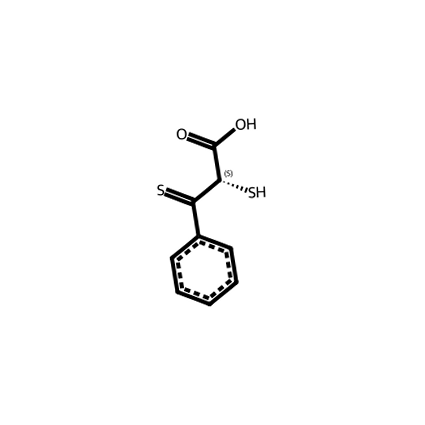 O=C(O)[C@H](S)C(=S)c1ccccc1